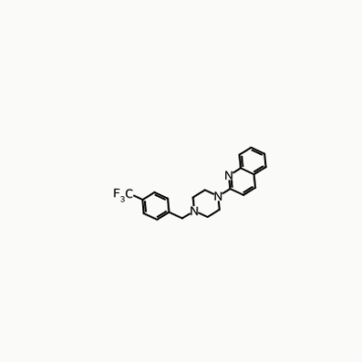 FC(F)(F)c1ccc(CN2CCN(c3ccc4ccccc4n3)CC2)cc1